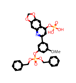 COc1cc(OP(=O)(OCc2ccccc2)OCc2ccccc2)cc(-c2cc(OP(=O)(O)O)c3cc4c(cc3n2)OCO4)c1